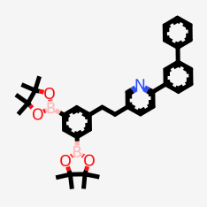 CC1(C)OB(c2cc(CCc3ccc(-c4cccc(-c5ccccc5)c4)nc3)cc(B3OC(C)(C)C(C)(C)O3)c2)OC1(C)C